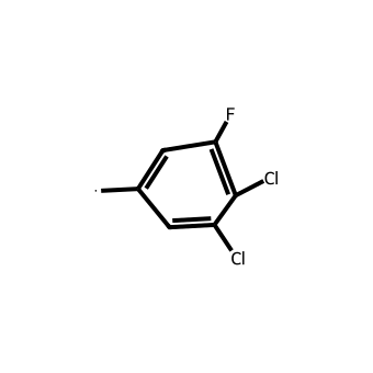 [CH2]c1cc(F)c(Cl)c(Cl)c1